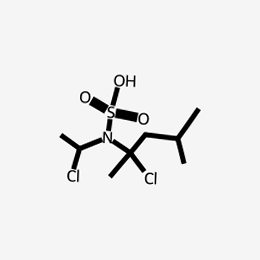 CC(C)CC(C)(Cl)N(C(C)Cl)S(=O)(=O)O